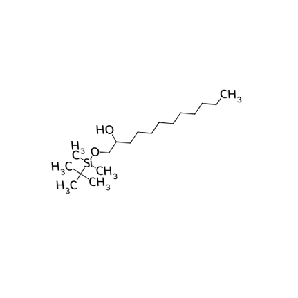 CCCCCCCCCCC(O)CO[Si](C)(C)C(C)(C)C